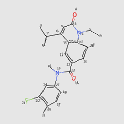 CCn1c(=O)cc(C(C)C)c2cc(C(=O)N(C)c3ccc(C)c(F)c3)ccc21